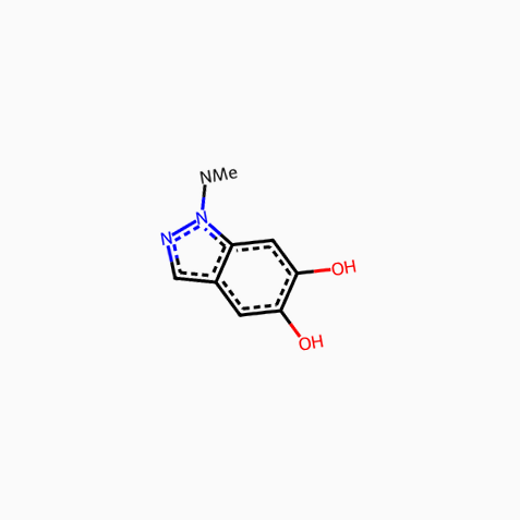 CNn1ncc2cc(O)c(O)cc21